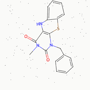 Cn1c(=O)c2c(n(Cc3ccccc3)c1=O)Sc1ccccc1N2